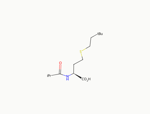 CC(C)C(=O)N[C@@H](CCSCCC(C)(C)C)C(=O)O